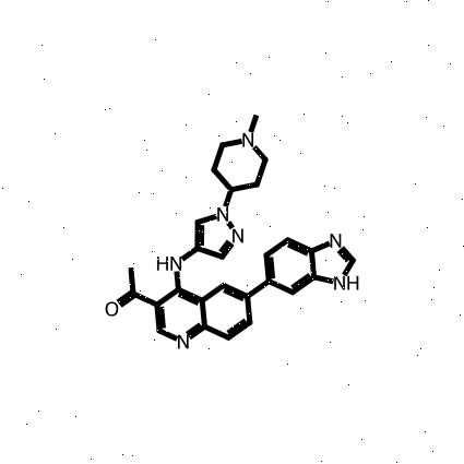 CC(=O)c1cnc2ccc(-c3ccc4nc[nH]c4c3)cc2c1Nc1cnn(C2CCN(C)CC2)c1